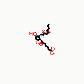 CCCC[C@H](C)C[C@H](O)/C=C/[C@@H]1[C@H](O)CC(=O)[C@@H]1CC(=O)CCCCC(=O)OC